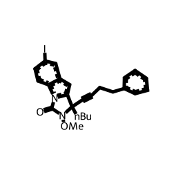 CCCCC1(C#CCCc2ccccc2)c2cc3cc(I)ccc3n2C(=O)N1OC